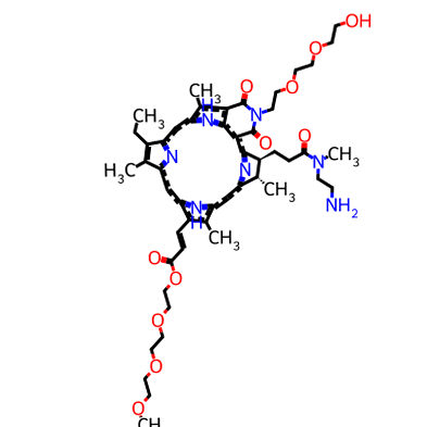 CCC1=C(C)c2cc3[nH]c(cc4nc(c5c6[nH]c(cc1n2)c(C)c6C(=O)N(CCOCCOCCO)C5=O)[C@@H](CCC(=O)N(C)CCN)[C@@H]4C)c(C)c3/C=C/C(=O)OCCOCCOCCOC